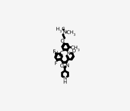 Cc1cc(OCCN(C)C)cc(C)c1-n1cc(-c2nc(C3CCNCC3)oc2-c2ccc(F)cc2F)ccc1=O